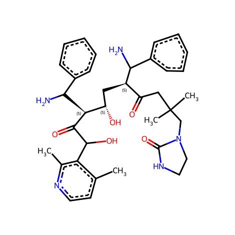 Cc1ccnc(C)c1C(O)C(=O)[C@@H](C(N)c1ccccc1)[C@@H](O)C[C@H](C(=O)CC(C)(C)CN1CCNC1=O)C(N)c1ccccc1